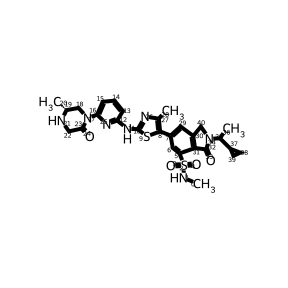 CNS(=O)(=O)c1cc(-c2sc(Nc3cccc(N4C[C@@H](C)NCC4=O)n3)nc2C)cc2c1C(=O)N(C(C)C1CC1)C2